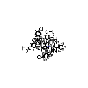 Cc1cc(C)c(Nc2nc(N(c3nc4cc(Cl)ccc4s3)c3c(C)cc(C)cc3C)cc(C)c2/N=N/c2c(C#N)c(-c3ccccc3)nn2-c2nc3cc(Cl)ccc3s2)c(C)c1